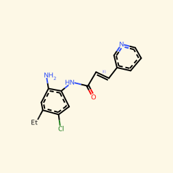 CCc1cc(N)c(NC(=O)/C=C/c2cccnc2)cc1Cl